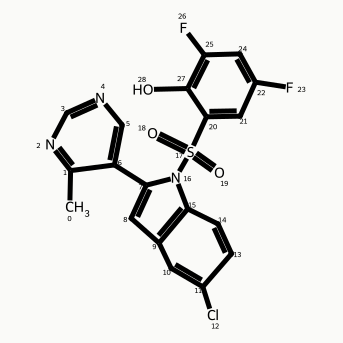 Cc1ncncc1-c1cc2cc(Cl)ccc2n1S(=O)(=O)c1cc(F)cc(F)c1O